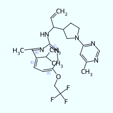 C=CC(NC1=N\C\C(OCC(F)(F)F)=C/C=C(C(C)C)/C(C)=N/1)C1CCN(c2cc(C)ncn2)C1